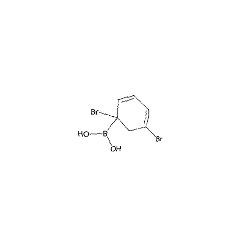 OB(O)C1(Br)C=CC=C(Br)C1